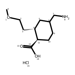 COCC[C@@H]1CC(CN)CC[C@H]1C(=O)O.Cl